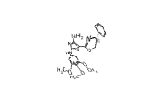 COc1cc(Nc2nc(N)c(C3=N[C@H](c4ccccc4)CO3)s2)cc(OC)c1OC